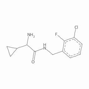 NC(C(=O)NCc1cccc(Cl)c1F)C1CC1